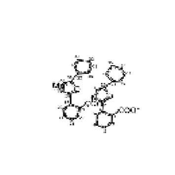 O=C([O-])c1ccccc1-c1ncc(-c2ccccc2)o1.O=C([O-])c1ccccc1-c1ncc(-c2ccccc2)o1.[Mn+2]